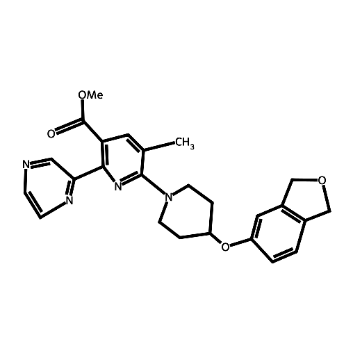 COC(=O)c1cc(C)c(N2CCC(Oc3ccc4c(c3)COC4)CC2)nc1-c1cnccn1